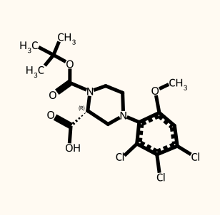 COc1cc(Cl)c(Cl)c(Cl)c1N1CCN(C(=O)OC(C)(C)C)[C@@H](C(=O)O)C1